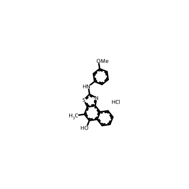 COc1cccc(Nc2nc3c(s2)c(C)c(O)c2ccccc23)c1.Cl